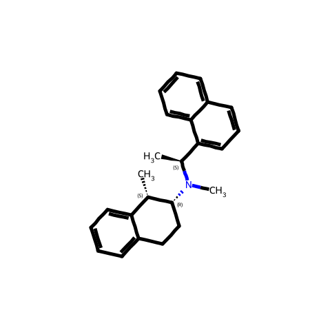 C[C@H]1c2ccccc2CC[C@H]1N(C)[C@@H](C)c1cccc2ccccc12